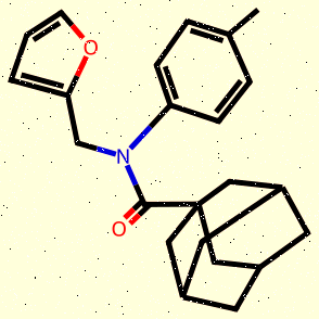 Cc1ccc(N(Cc2ccco2)C(=O)C23CC4CC(CC(C4)C2)C3)cc1